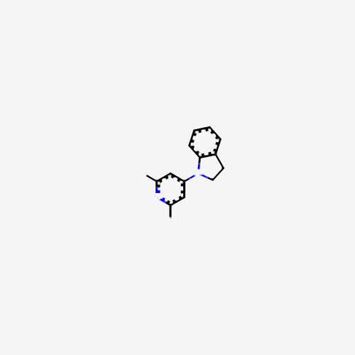 Cc1cc(N2CCc3ccccc32)cc(C)n1